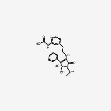 CC(C)N1C(=O)C(NCCc2ccnc(NC(=O)O)c2)=C(c2ccccc2)S1(O)O